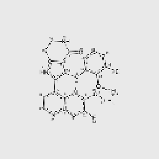 COc1nc2c(-c3[nH]c4c(c3Nc3cccc(Cl)c3OC)C(=O)NCC4)ccnc2cc1F